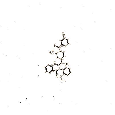 COc1ccccc1-n1c(C(C)N2CCN(C(=O)c3cccc(Br)c3)C(C)C2)nc2ccccc2c1=O